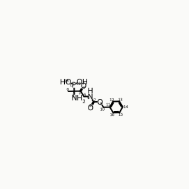 CC(N)(C(=O)CNC(=O)OCc1ccccc1)P(O)O